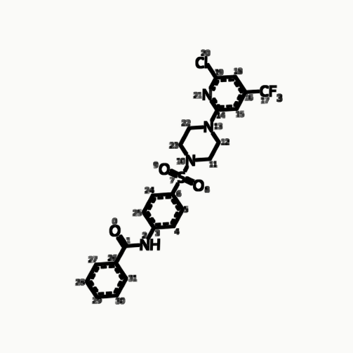 O=C(Nc1ccc(S(=O)(=O)N2CCN(c3cc(C(F)(F)F)cc(Cl)n3)CC2)cc1)c1ccccc1